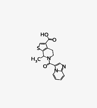 CC1c2scc(C(=O)O)c2CCN1C(=O)c1cnc2ccccn12